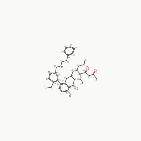 CCCC(CC1CC(=O)c2c(C)ccc(-c3cc(CCCCc4ccccc4)ccc3CC)c2C1)C(CC)C(=O)CC(C)=O